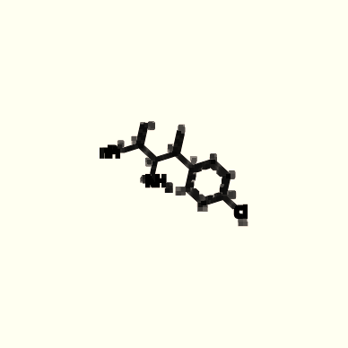 C=C(CCC)C(N)C(=C)c1ccc(Cl)cc1